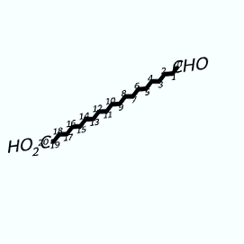 O=CCCCCCCCCCCCCCCCCCCCC(=O)O